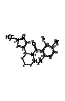 Cn1cc(C2CCCCN2C(=O)c2c(N)ccc(Br)c2F)cn1